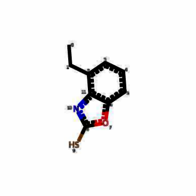 CCc1cccc2oc(S)nc12